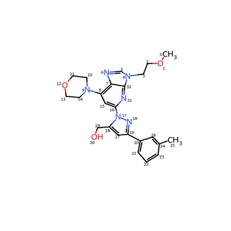 COCCn1cnc2c(N3CCOCC3)cc(-n3nc(-c4cccc(C)c4)cc3CO)nc21